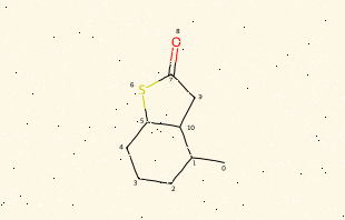 CC1CCCC2SC(=O)CC12